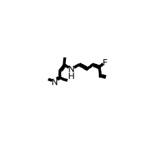 C=C/C(F)=C\C=C\N/C(C)=C\C(C)=N/C